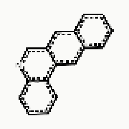 c1ccc2cc3c(cnc4ccccc43)cc2c1